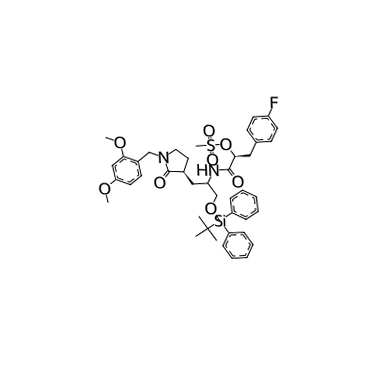 COc1ccc(CN2CC[C@@H](CC(CO[Si](c3ccccc3)(c3ccccc3)C(C)(C)C)NC(=O)[C@H](Cc3ccc(F)cc3)OS(C)(=O)=O)C2=O)c(OC)c1